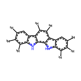 [2H]c1cc2c([nH]c3c4[nH]c5c([2H])c([2H])c([2H])cc5c4c([2H])c([2H])c23)c([2H])c1[2H]